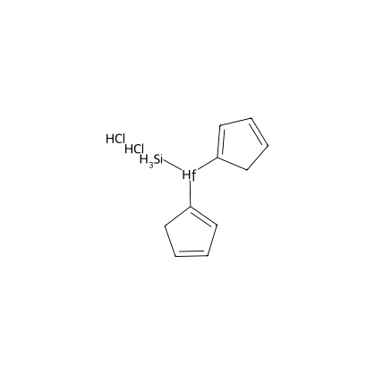 Cl.Cl.[SiH3][Hf]([C]1=CC=CC1)[C]1=CC=CC1